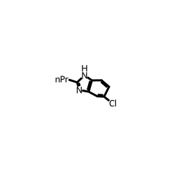 C[CH]Cc1nc2cc(Cl)ccc2[nH]1